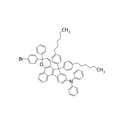 CCCCCCc1ccc(C2(c3ccc(CCCCCC)cc3)c3cc(N(c4ccccc4)c4ccccc4)ccc3-c3c2c2c(c4ccccc34)OC(c3ccccc3)(c3ccc(Br)cc3)C=C2)cc1